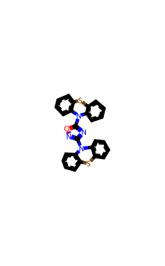 c1ccc2c(c1)Sc1ccccc1N2c1noc(N2c3ccccc3Sc3ccccc32)n1